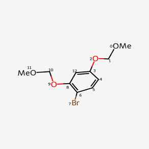 COCOc1ccc(Br)c(OCOC)c1